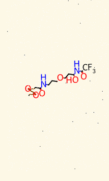 CS(=O)(=O)CC(=O)NCCCOCCC(O)NC(=O)C(F)(F)F